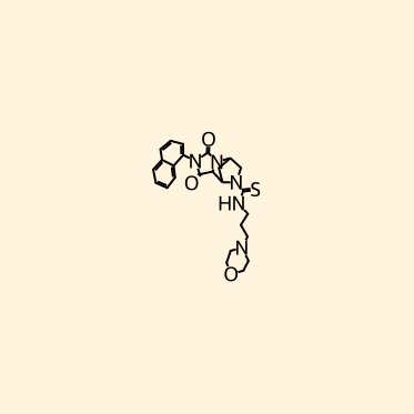 O=C1C2C3CC(CN3C(=S)NCCCN3CCOCC3)N2C(=O)N1c1cccc2ccccc12